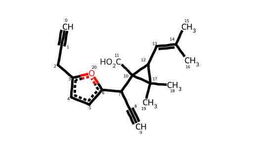 C#CCc1ccc(C(C#C)C2(C(=O)O)C(C=C(C)C)C2(C)C)o1